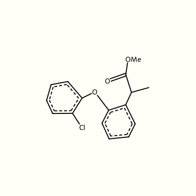 COC(=O)C(C)c1ccccc1Oc1ccccc1Cl